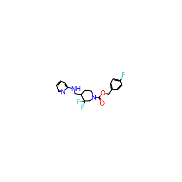 O=C(OCc1ccc(F)cc1)N1CCC(CNc2ccccn2)C(F)(F)C1